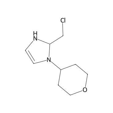 ClCC1NC=CN1C1CCOCC1